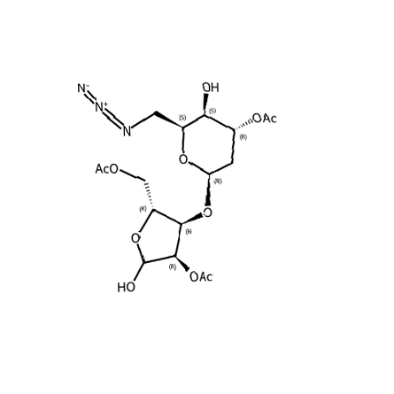 CC(=O)OC[C@H]1OC(O)[C@H](OC(C)=O)[C@@H]1O[C@@H]1C[C@@H](OC(C)=O)[C@H](O)[C@H](CN=[N+]=[N-])O1